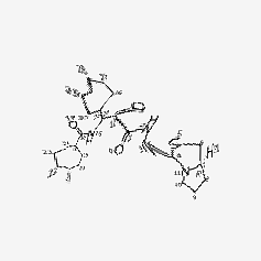 O=C(NN=C1SC[C@H]2CCCN12)C(=O)C(NC(=O)C1CCCCCC1)C1CCCCC1